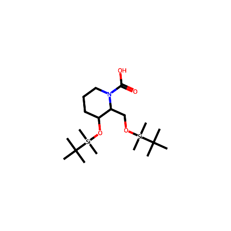 CC(C)(C)[Si](C)(C)OCC1C(O[Si](C)(C)C(C)(C)C)CCCN1C(=O)O